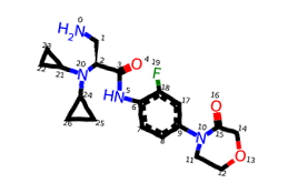 NC[C@@H](C(=O)Nc1ccc(N2CCOCC2=O)cc1F)N(C1CC1)C1CC1